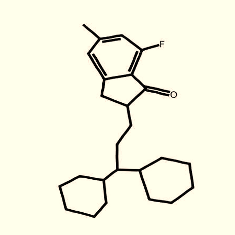 Cc1cc(F)c2c(c1)CC(CCC(C1CCCCC1)C1CCCCC1)C2=O